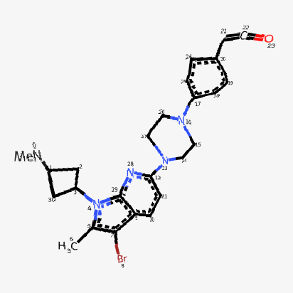 CNC1CC(n2c(C)c(Br)c3ccc(N4CCN(c5ccc(C=C=O)cc5)CC4)nc32)C1